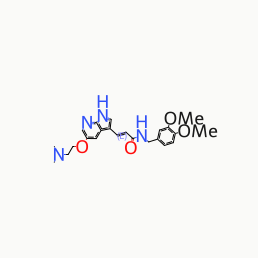 COc1ccc(CNC(=O)/C=C/c2c[nH]c3ncc(OCCN(C)C)cc23)cc1OC